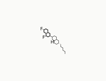 CCCCCC[C@@H]1CC[C@@H]2CC(c3cc(F)c4cc(F)ccc4c3)CCC2C1